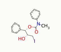 CN(C(=O)O[C@@H](c1ccccc1)[C@@H](O)CI)c1ccccc1